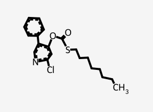 CCCCCCCCSC(=O)Oc1cc(Cl)ncc1-c1ccccc1